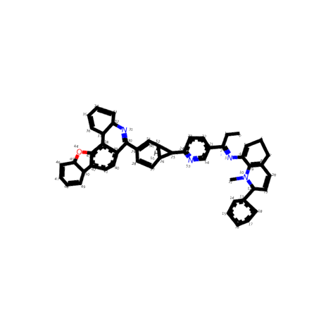 CC/C(=N\C1=CCCC2=C1N(C)C(c1ccccc1)C=C2)c1ccc(C2C3C=CC(C4=NC5C=CC=CC5c5c4ccc4c5OC5C=CC=CC45)=C[C@@H]32)nc1